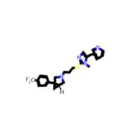 Cn1c(-c2cccnc2)cnc1SCCCN1C[C@@H]2CC2(c2ccc(C(F)(F)F)cc2)C1